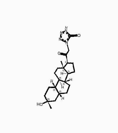 C[C@@]1(O)CC[C@H]2[C@H](CC[C@@H]3[C@@H]2CC[C@]2(C)[C@@H](C(=O)Cn4nn[nH]c4=O)CC[C@@H]32)C1